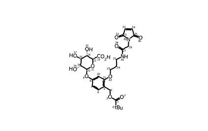 CC(C)(C)C(=O)OCc1ccc(O[C@@H]2O[C@H](C(=O)O)[C@@H](O)[C@H](O)[C@H]2O)cc1OCCCNC(=O)CN1C(=O)C=CC1=O